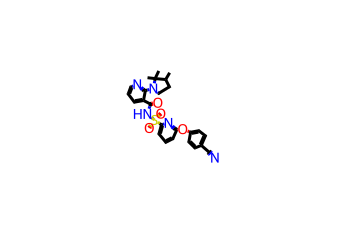 CC1CCN(c2ncccc2C(=O)NS(=O)(=O)c2cccc(Oc3ccc(C#N)cc3)n2)C1(C)C